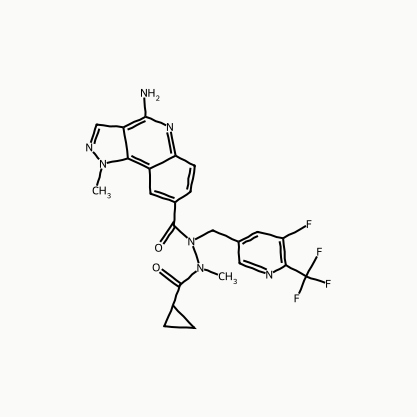 CN(C(=O)C1CC1)N(Cc1cnc(C(F)(F)F)c(F)c1)C(=O)c1ccc2nc(N)c3cnn(C)c3c2c1